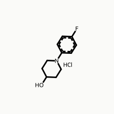 Cl.OC1CCN(c2ccc(F)cc2)CC1